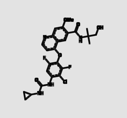 COc1cc2nccc(Oc3c(F)cc(NC(=O)NC4CC4)c(Cl)c3F)c2cc1C(=O)NC(C)(C)CO